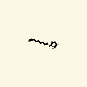 C#CCCCCCCCOC1CCCCO1